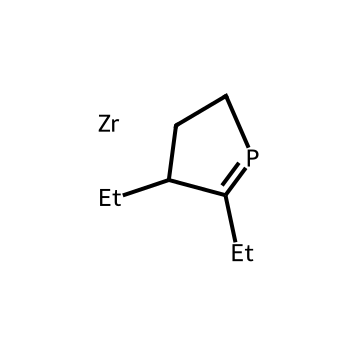 CCC1=PCCC1CC.[Zr]